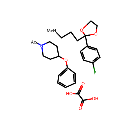 CC(=O)N1CCC(Oc2ccccc2)CC1.CNCCCC1(c2ccc(F)cc2)OCCO1.O=C(O)C(=O)O